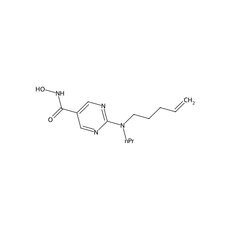 C=CCCCN(CCC)c1ncc(C(=O)NO)cn1